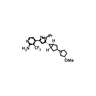 CO[C@H]1CCN([C@H]2C[C@@H]3[C@H](C2)[C@H]3c2cc(-c3ccnc(N)c3C(F)(F)F)nn2C(C)C)C1